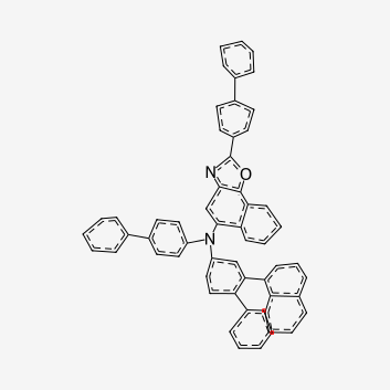 c1ccc(-c2ccc(-c3nc4cc(N(c5ccc(-c6ccccc6)cc5)c5ccc(-c6ccccc6)c(-c6cccc7ccccc67)c5)c5ccccc5c4o3)cc2)cc1